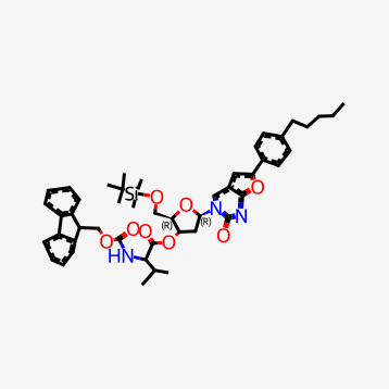 CCCCCc1ccc(-c2cc3cn([C@H]4CC(OC(=O)C(NC(=O)OCC5c6ccccc6-c6ccccc65)C(C)C)[C@@H](CO[Si](C)(C)C(C)(C)C)O4)c(=O)nc3o2)cc1